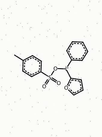 Cc1ccc(S(=O)(=O)O[I+](c2ccccc2)c2ccco2)cc1